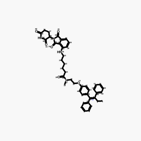 CC/C(=C(\c1ccccc1)c1ccc(OCCN(C)C(=O)CCCCCNc2cccc3c2C(=O)N(C2CCC(=O)NC2=O)C3=O)cc1)c1ccccc1